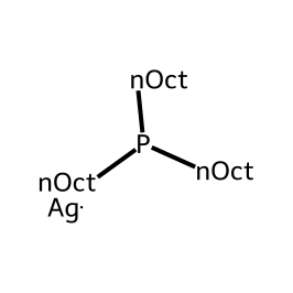 CCCCCCCCP(CCCCCCCC)CCCCCCCC.[Ag]